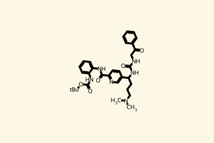 CN(C)CCCC(NC(=O)NCC(=O)c1ccccc1)c1ccc(C(=O)Nc2ccccc2NC(=O)OC(C)(C)C)nc1